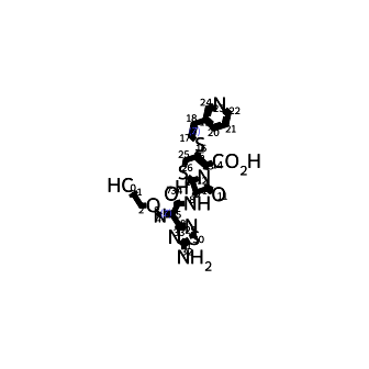 C#CCO/N=C(\C(=O)NC1C(=O)N2C(C(=O)O)=C(S/C=C\c3cccnc3)CS[C@H]12)c1nsc(N)n1